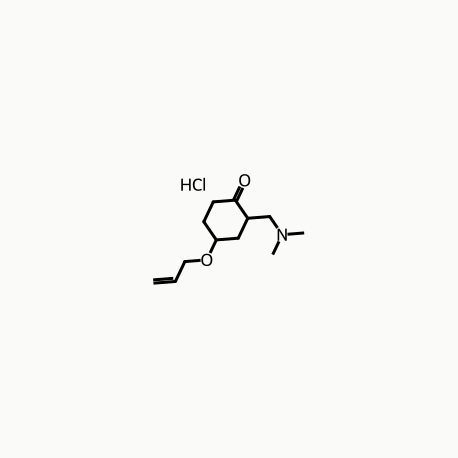 C=CCOC1CCC(=O)C(CN(C)C)C1.Cl